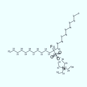 CCCCCCCCCCCC(F)(CCCCCCCCCCC)S(=O)(=O)[O-].CC[N+](CC)(CC)CC